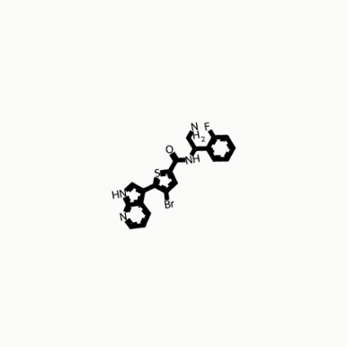 NCC(NC(=O)c1cc(Br)c(-c2c[nH]c3ncccc23)s1)c1ccccc1F